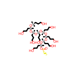 C[Si](C)(CCCO)O[Si](C)(CCCO)O[Si](C)(CCCO)O[Si](C)(CCCO)O[Si](C)(CCCO)O[Si](C)(CCCO)O[Si](C)(CCCO)O[Si](C)(CCCO)OP(=O)=S=S